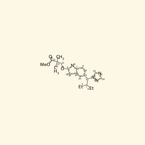 CCC(CC)C(c1ccc2nc(OCC(C)(C)C(=O)OC)sc2c1)n1cncn1